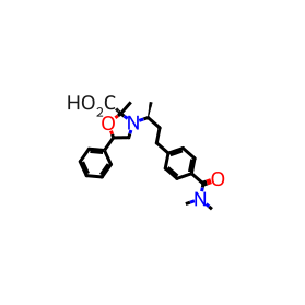 C[C@@H](CCc1ccc(C(=O)N(C)C)cc1)N1CC(c2ccccc2)OC1(C)C(=O)O